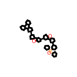 O=P(c1ccccc1)(c1ccccc1)c1cccc(-c2ccc3oc4ccc(-c5ccc6oc7ccc(-c8ccc9c%10ccccc%10c%10ccccc%10c9c8)cc7c6c5)cc4c3c2)c1